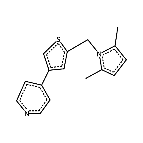 Cc1ccc(C)n1Cc1cc(-c2ccncc2)cs1